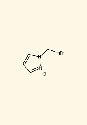 CCCCn1cccn1.Cl